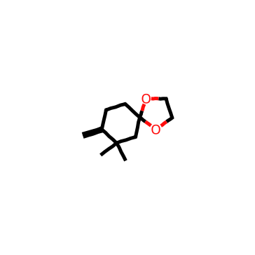 C=C1CCC2(CC1(C)C)OCCO2